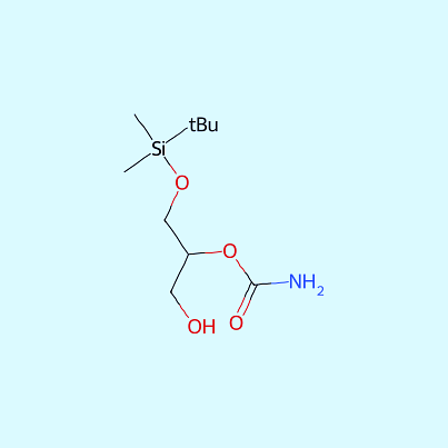 CC(C)(C)[Si](C)(C)OCC(CO)OC(N)=O